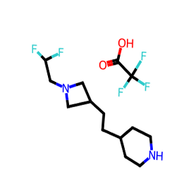 FC(F)CN1CC(CCC2CCNCC2)C1.O=C(O)C(F)(F)F